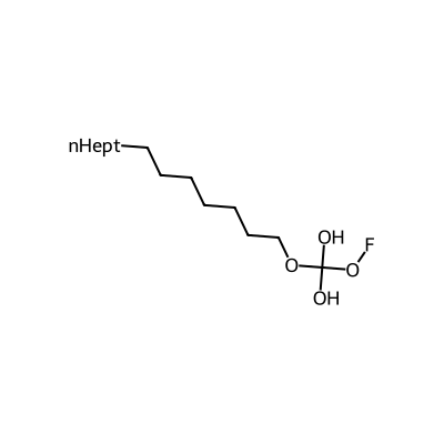 CCCCCCCCCCCCCCOC(O)(O)OF